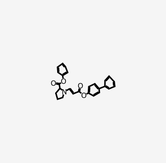 O=C(C=CN1CCCC1C(=O)Oc1ccccc1)Oc1ccc(-c2ccccc2)cc1